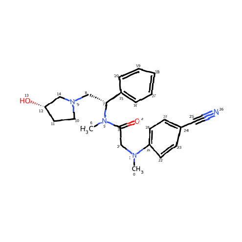 CN(CC(=O)N(C)[C@H](CN1CC[C@H](O)C1)c1ccccc1)c1ccc(C#N)cc1